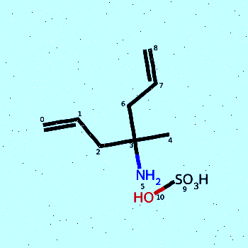 C=CCC(C)(N)CC=C.O=S(=O)(O)O